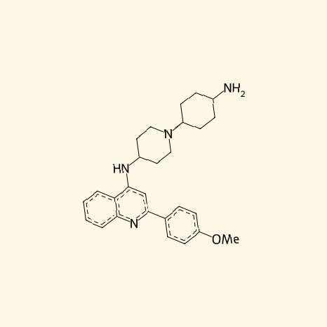 COc1ccc(-c2cc(NC3CCN(C4CCC(N)CC4)CC3)c3ccccc3n2)cc1